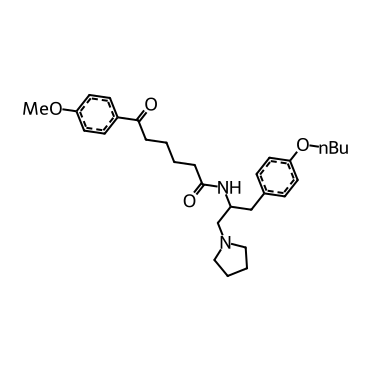 CCCCOc1ccc(CC(CN2CCCC2)NC(=O)CCCCC(=O)c2ccc(OC)cc2)cc1